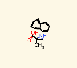 CC1(C(=O)O)CN1.c1ccc2ccccc2c1